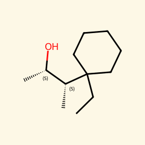 CCC1([C@H](C)[C@H](C)O)CCCCC1